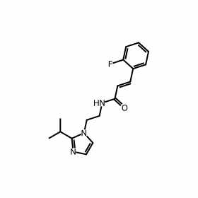 CC(C)c1nccn1CCNC(=O)C=Cc1ccccc1F